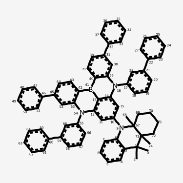 CC1(C)c2ccccc2N(c2cc3c4c(c2)N(c2cccc(-c5ccccc5)c2)c2cc(-c5ccccc5)ccc2B4c2ccc(-c4ccccc4)cc2N3c2cccc(-c3ccccc3)c2)C2(C)CCCCC12C